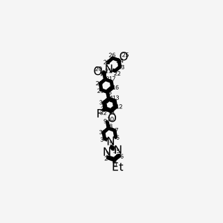 CCc1cnc(N2CCC(COc3ccc(C4=CCC(C(=O)N5CCC(=O)CC5)CC4)cc3F)CC2)nc1